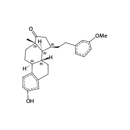 COc1cccc(CC[C@@H]2CC(=O)[C@@]3(C)CC[C@@H]4c5ccc(O)cc5CC[C@H]4[C@H]23)c1